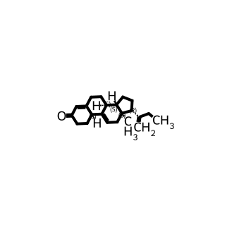 C=C(CC)[C@H]1CC[C@H]2[C@@H]3CCC4=CC(=O)CC[C@@H]4C3=CC[C@]12C